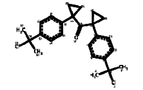 CC(C)(Cl)c1ccc(C2(C(=O)C3(c4ccc(C(C)(C)Cl)cc4)CC3)CC2)cc1